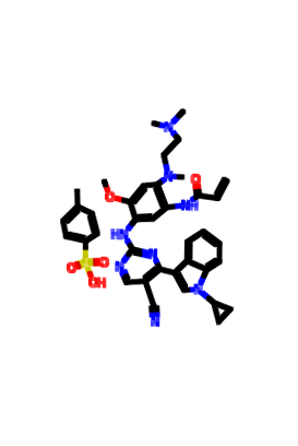 C=CC(=O)Nc1cc(Nc2ncc(C#N)c(-c3cn(C4CC4)c4ccccc34)n2)c(OC)cc1N(C)CCN(C)C.Cc1ccc(S(=O)(=O)O)cc1